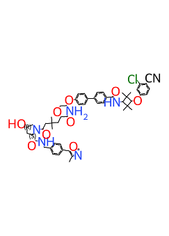 Cc1ncoc1-c1ccc(CNC(=O)[C@@H]2C[C@@H](O)CN2C(=O)CC(C)(C)CC(OCCOc2ccc(-c3ccc(C(=O)NC4C(C)(C)C(Oc5ccc(C#N)c(Cl)c5)C4(C)C)cc3)cc2)C(N)=O)cc1